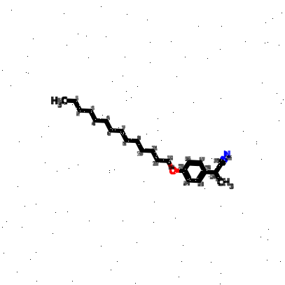 CCCCCCCCCCCCCCOc1ccc(C(C)C#N)cc1